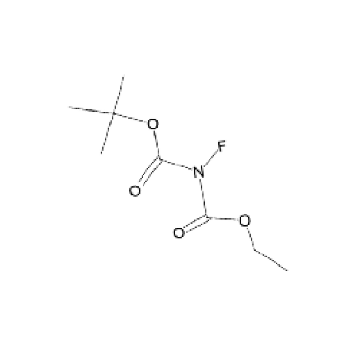 CCOC(=O)N(F)C(=O)OC(C)(C)C